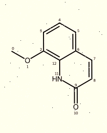 COc1cccc2ccc(=O)[nH]c12